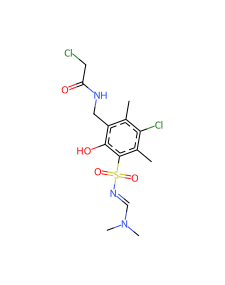 Cc1c(Cl)c(C)c(S(=O)(=O)/N=C/N(C)C)c(O)c1CNC(=O)CCl